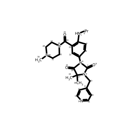 CC(C)Nc1ccc(N2C(=O)N(Cc3ccncc3)C(C)(C)C2=O)cc1C(=O)N1CCN(C)CC1